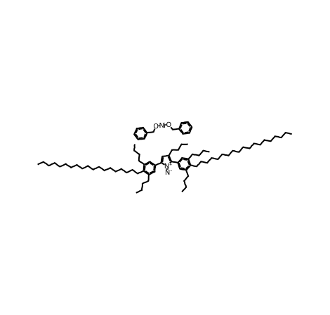 CCCCCCCCCCCCCCCCCCCc1c(CCCC)cc(C2=CC(CCCC)=C(c3cc(CCCC)c(CCCCCCCCCCCCCCCCCCC)c(CCCC)c3)[N+]2=[N-])cc1CCCC.c1ccc(C[O][Ni][O]Cc2ccccc2)cc1